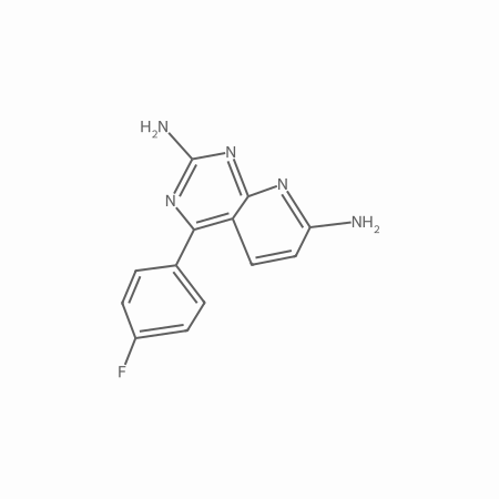 Nc1ccc2c(-c3ccc(F)cc3)nc(N)nc2n1